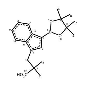 CC(C)(Cn1cc(B2OC(C)(C)C(C)(C)O2)c2ccccc21)C(=O)O